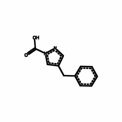 O=C(O)n1cc(Cc2ccccc2)cn1